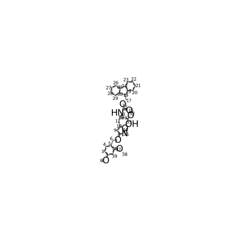 COc1ccc(COc2cc(C[C@H](NC(=O)OCC3c4ccccc4-c4ccccc43)C(=O)O)on2)c(OC)c1